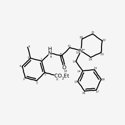 CCOC(=O)c1cccc(C)c1NC(=O)C[N+]1(Cc2ccccc2)CCCCC1